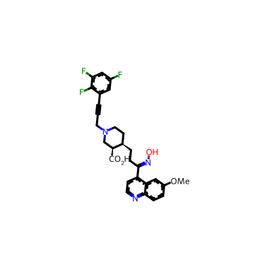 COc1ccc2nccc(C(CC[C@@H]3CCN(CC#Cc4cc(F)cc(F)c4F)C[C@@H]3C(=O)O)=NO)c2c1